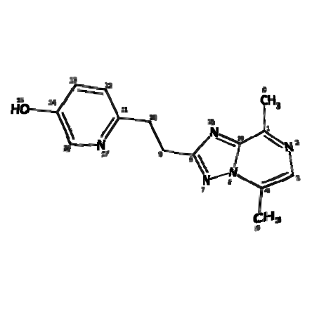 Cc1ncc(C)n2nc(CCc3ccc(O)cn3)nc12